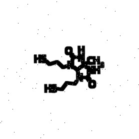 CC12NC(=O)N(CCCS)C1N(CCCS)C(=O)N2